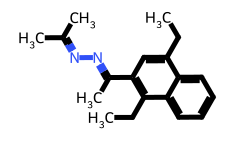 CCc1cc(/C(C)=N/N=C(C)C)c(CC)c2ccccc12